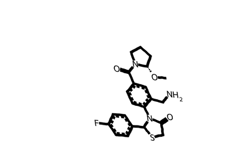 CO[C@H]1CCCN1C(=O)c1ccc(N2C(=O)CSC2c2ccc(F)cc2)c(CN)c1